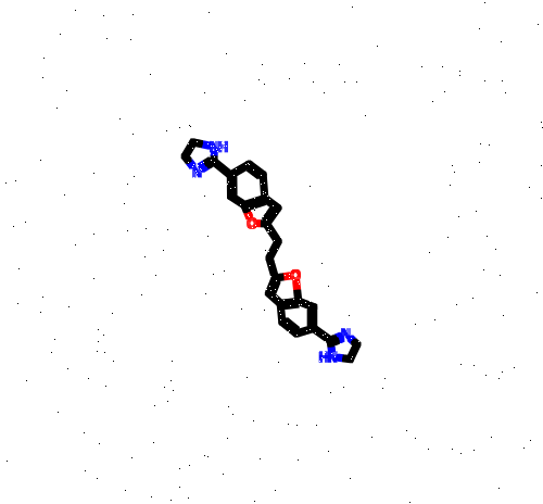 c1cc2cc(CCc3cc4ccc(C5=NCCN5)cc4o3)oc2cc1C1=NCCN1